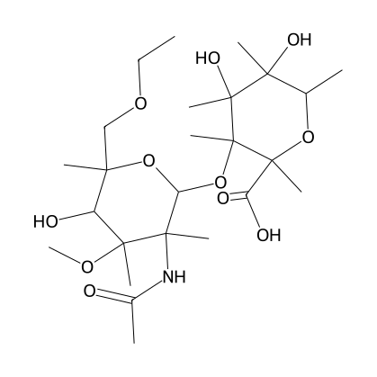 CCOCC1(C)OC(OC2(C)C(C)(C(=O)O)OC(C)C(C)(O)C2(C)O)C(C)(NC(C)=O)C(C)(OC)C1O